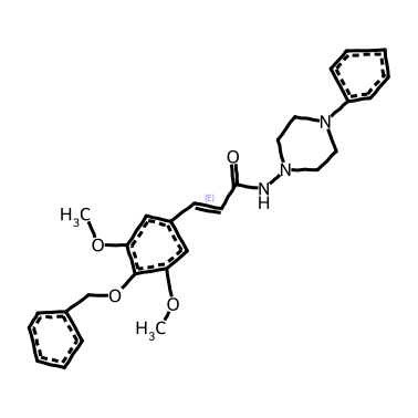 COc1cc(/C=C/C(=O)NN2CCN(c3ccccc3)CC2)cc(OC)c1OCc1ccccc1